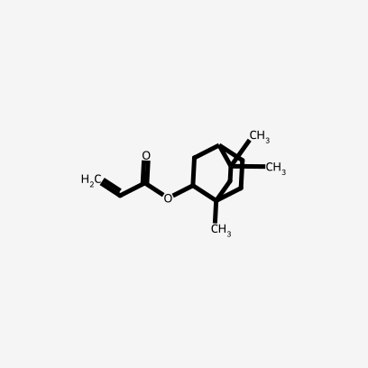 C=CC(=O)OC1CC2CCC1(C)CC2(C)C